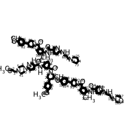 COCCN1CCN(c2ccc(C(=O)Nc3cc(C(=O)N4CCC(c5ccc(OC)cc5)CC4)ccc3C)cn2)CC1.COc1ccc(C2CCN(C(=O)c3ccc(C)c(NC(=O)c4ccc(NCCCN5CCCCC5)nc4)c3)CC2)cc1.COc1ccc(C2CCN(C(=O)c3ccc(C)c(NC(=O)c4ccc(NCCCN5CCOCC5)nc4)c3)CC2)cc1